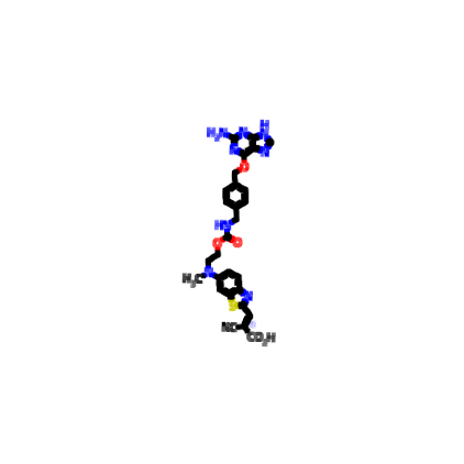 CN(CCOC(=O)NCc1ccc(COc2nc(N)nc3[nH]cnc23)cc1)c1ccc2nc(/C=C(\C#N)C(=O)O)sc2c1